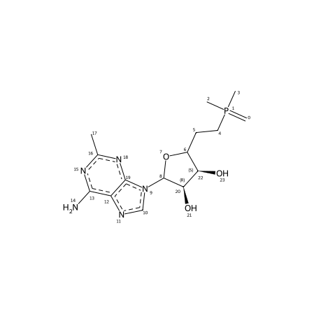 C=P(C)(C)CCC1OC(n2cnc3c(N)nc(C)nc32)[C@H](O)[C@@H]1O